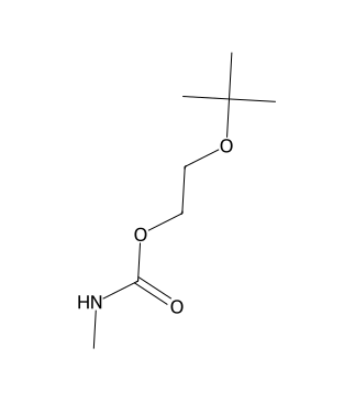 CNC(=O)OCCOC(C)(C)C